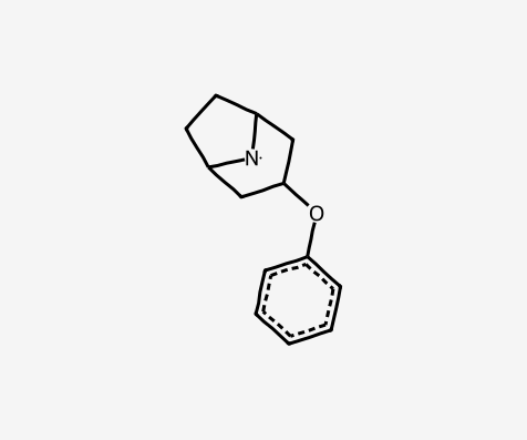 c1ccc(OC2CC3CCC(C2)[N]3)cc1